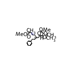 COC(=O)[C@@H](C)/C=C/C[C@H](CCc1ccccc1)C[C@H]1O[C@@H](OC)C2OC(C)(C)O[C@H]21